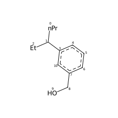 CCCC(CC)c1cccc(CO)c1